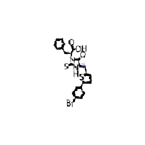 O=C(O)C(Cc1ccccc1)N1C(=O)/C(=C/c2ccc(-c3ccc(Br)cc3)s2)NC1=S